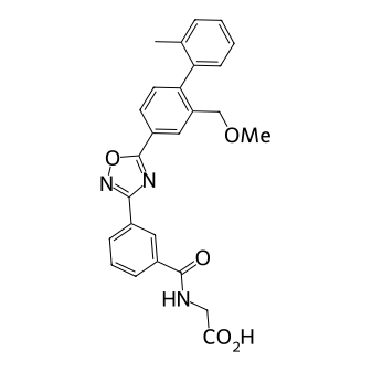 COCc1cc(-c2nc(-c3cccc(C(=O)NCC(=O)O)c3)no2)ccc1-c1ccccc1C